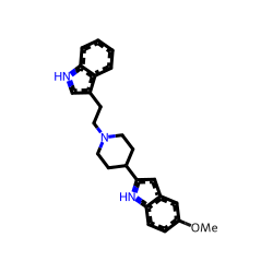 COc1ccc2[nH]c(C3CCN(CCc4c[nH]c5ccccc45)CC3)cc2c1